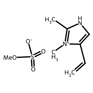 C=Cc1c[nH]c(C)[n+]1C.COS(=O)(=O)[O-]